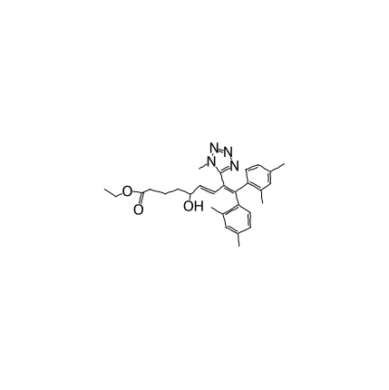 CCOC(=O)CCCC(O)C=CC(=C(c1ccc(C)cc1C)c1ccc(C)cc1C)c1nnnn1C